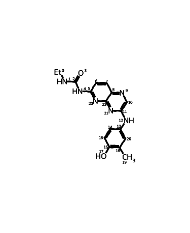 CCNC(=O)Nc1ccc2ncc(Nc3ccc(O)c(C)c3)nc2n1